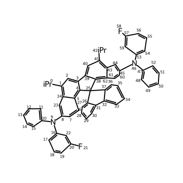 CC(C)c1cc2c(c3ccc(N(c4ccccc4)c4cccc(F)c4)cc13)C1(c3ccccc3-c3ccccc31)c1c-2cc(C(C)C)c2cc(N(c3ccccc3)c3cccc(F)c3)ccc12